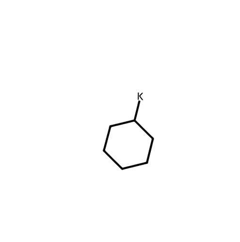 [K][CH]1CCCCC1